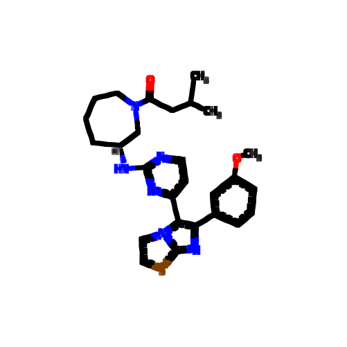 COc1cccc(-c2nc3sccn3c2-c2ccnc(N[C@@H]3CCCCN(C(=O)CC(C)C)C3)n2)c1